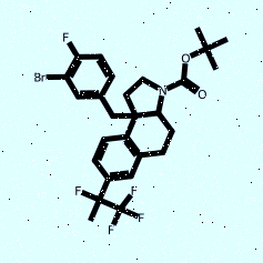 CC(C)(C)OC(=O)N1CCC2(Cc3ccc(F)c(Br)c3)c3ccc(C(C)(F)C(F)(F)F)cc3CCC12